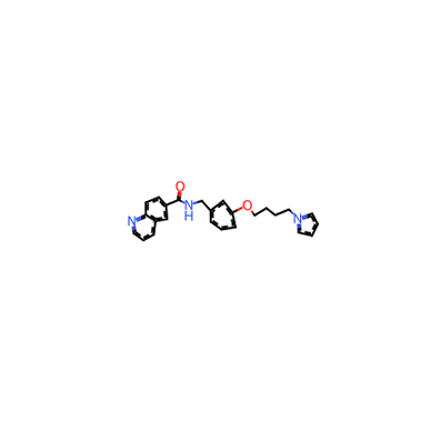 O=C(NCc1cccc(OCCCCn2cccc2)c1)c1ccc2ncccc2c1